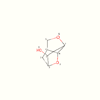 OC1C2CC3COC1C3O2